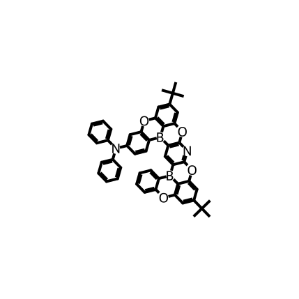 CC(C)(C)c1cc2c3c(c1)Oc1nc4c(cc1B3c1ccccc1O2)B1c2ccc(N(c3ccccc3)c3ccccc3)cc2Oc2cc(C(C)(C)C)cc(c21)O4